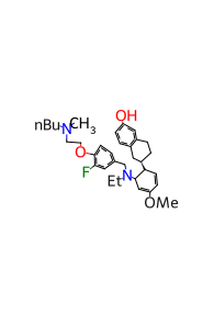 CCCCN(C)CCOc1ccc(CN(CC)C2C=C(OC)C=CC2[C@@H]2CCc3cc(O)ccc3C2)cc1F